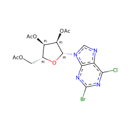 CC(=O)OC[C@H]1O[C@@H](n2cnc3c(Cl)nc(Br)nc32)[C@H](OC(C)=O)[C@@H]1OC(C)=O